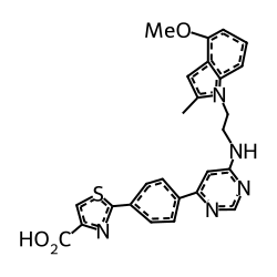 COc1cccc2c1cc(C)n2CCNc1cc(-c2ccc(-c3nc(C(=O)O)cs3)cc2)ncn1